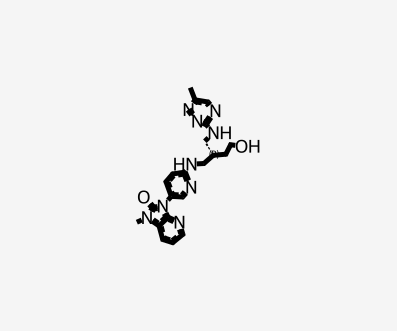 Cc1cnc(NC[C@H](CCO)CNc2ccc(-n3c(=O)n(C)c4cccnc43)cn2)nn1